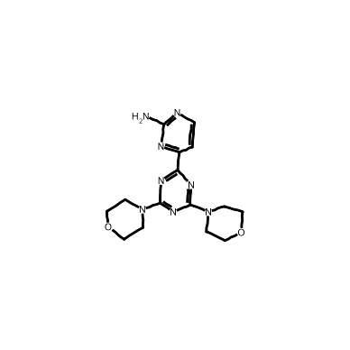 Nc1nccc(-c2nc(N3CCOCC3)nc(N3CCOCC3)n2)n1